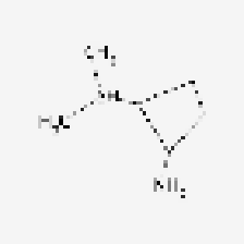 C[SH](C)C1CCC1N